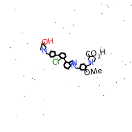 COc1cc(Cn2ncc3c(-c4cccc(-c5ccc(CN6CC[C@@H](O)C6)cc5)c4Cl)cccc32)ccc1CN1CCCC(C(=O)O)C1